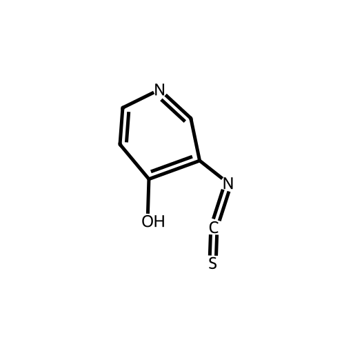 Oc1ccncc1N=C=S